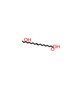 CCC(O)CCCCC/C=C/CCCCCCCC(=O)O